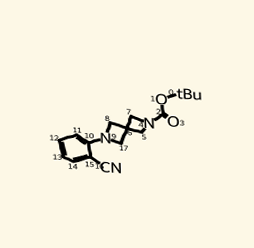 CC(C)(C)OC(=O)N1CC2(C1)CN(c1ccccc1C#N)C2